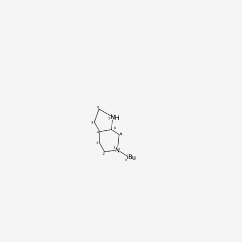 CCC(C)N1CCC2CCNC2C1